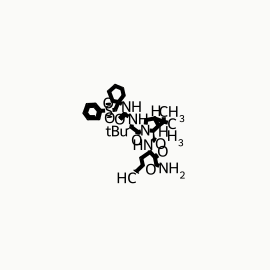 C#CCCC(NC(=O)[C@@H]1[C@@H]2[C@H](CN1C(=O)[C@@H](NC(=O)NC1(CS(=O)(=O)c3ccccc3)CCCCC1)C(C)(C)C)C2(C)C)C(=O)C(N)=O